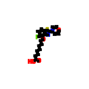 O=C(O)CCCCCCCOc1c(F)ccc2sc(N3CCOCC3)nc12